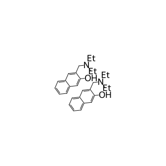 CCN(CC)Cc1cc2ccccc2cc1O.CCN(CC)Cc1cc2ccccc2cc1O